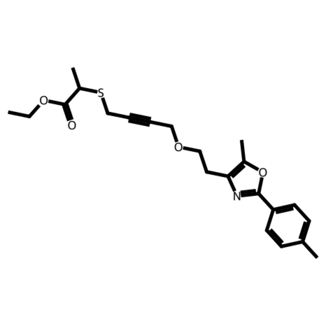 CCOC(=O)C(C)SCC#CCOCCc1nc(-c2ccc(C)cc2)oc1C